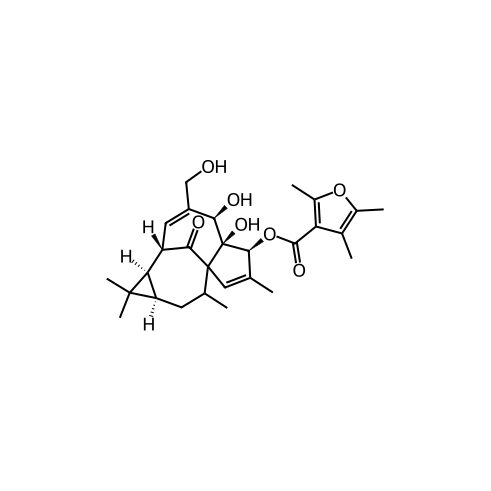 CC1=CC23C(=O)[C@@H](C=C(CO)[C@@H](O)[C@]2(O)[C@H]1OC(=O)c1c(C)oc(C)c1C)[C@H]1[C@@H](CC3C)C1(C)C